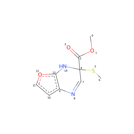 COC(=O)C1(SC)C=Nc2ccoc2N1